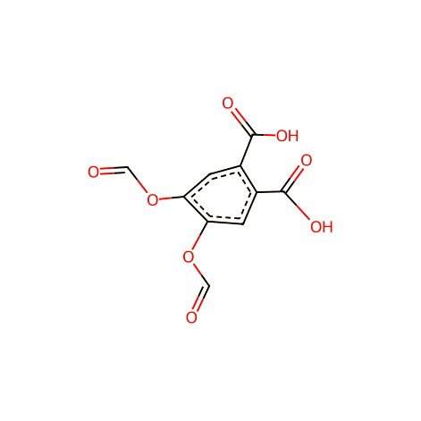 O=COc1cc(C(=O)O)c(C(=O)O)cc1OC=O